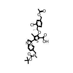 CC(=O)OCc1ccc([C@@H](C)Oc2c(C(=O)O)sc(-c3cnc4ccc(CN(C)C(=O)OC(C)(C)C)cn34)c2C)c(Cl)c1